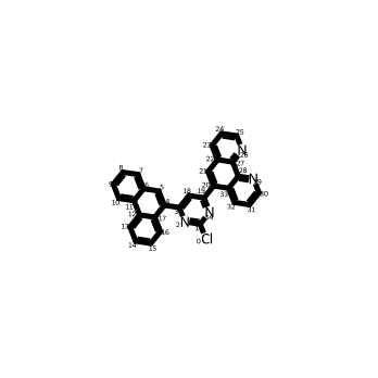 Clc1nc(-c2cc3ccccc3c3ccccc23)cc(-c2cc3cccnc3c3ncccc23)n1